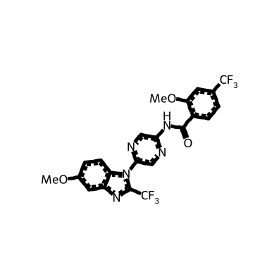 COc1ccc2c(c1)nc(C(F)(F)F)n2-c1cnc(NC(=O)c2ccc(C(F)(F)F)cc2OC)cn1